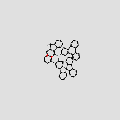 CC1(C)c2ccccc2-c2c(N(c3ccc4c5ccccc5c5ccccc5c4c3)c3cc4c(cc3-c3ccccc3)-c3ccccc3C43c4ccccc4-c4ccccc43)cccc21